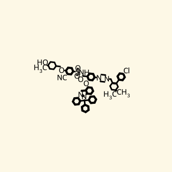 CC1(C)CCC(CN2CCN(c3ccc(C(=O)NS(=O)(=O)c4ccc(OCC5CCC(C)(O)CC5)c(C#N)c4)c(Oc4cccc5c4cnn5C(c4ccccc4)(c4ccccc4)c4ccccc4)c3)CC2)=C(c2ccc(Cl)cc2)C1